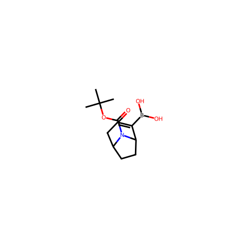 CC(C)(C)OC(=O)N1C2CC=C(B(O)O)C1CC2